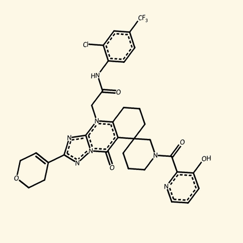 O=C(Cn1c2c(c(=O)n3nc(C4=CCOCC4)nc13)C1(CCC2)CCCN(C(=O)c2ncccc2O)C1)Nc1ccc(C(F)(F)F)cc1Cl